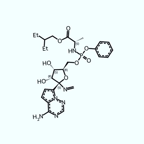 C=N[C@@]1(c2ccc3c(N)ncnn23)O[C@H](COP(=O)(N[C@@H](C)C(=O)OCC(CC)CC)Oc2ccccc2)[C@@H](O)[C@H]1O